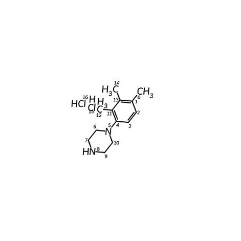 Cc1ccc(N2CCNCC2)c(C)c1C.Cl.Cl